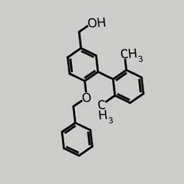 Cc1cccc(C)c1-c1cc(CO)ccc1OCc1ccccc1